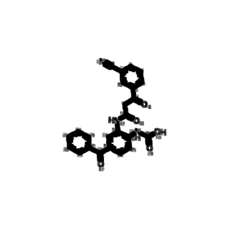 N#Cc1cccc(C(=O)CC(=O)Nc2cc(C(=O)c3ccccc3)ccc2NC(=O)O)c1